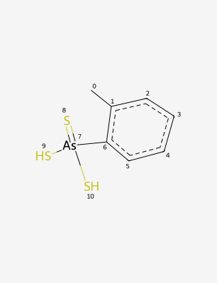 Cc1ccccc1[As](=S)(S)S